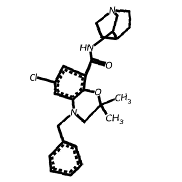 CC1(C)CN(Cc2ccccc2)c2cc(Cl)cc(C(=O)NC3CN4CCC3CC4)c2O1